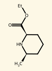 CCOC(=O)[C@H]1CCC[C@@H](C)N1